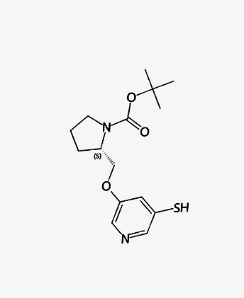 CC(C)(C)OC(=O)N1CCC[C@H]1COc1cncc(S)c1